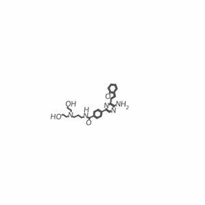 Nc1ncc(-c2ccc(C(=O)NCCCN(CCO)CCO)cc2)nc1-c1cc2ccccc2o1